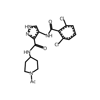 CC(=O)N1CCC(NC(=O)c2n[nH]cc2NC(=O)c2c(Cl)cccc2Cl)CC1